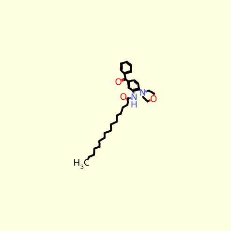 CCCCCCCCCCCCCCCC(=O)Nc1cc(C(=O)c2ccccc2)ccc1N1CCOCC1